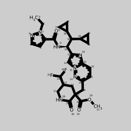 CCn1nccc1C(=O)N[C@H](c1cn2nc(CC3(C(=O)OC)CC(C(F)F)CNC3=O)ccc2n1)C(C1CC1)C1CC1